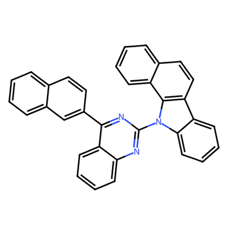 c1ccc2cc(-c3nc(-n4c5ccccc5c5ccc6ccccc6c54)nc4ccccc34)ccc2c1